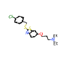 CCN(CC)CCCOc1ccc2nc(SCc3ccc(Cl)cc3)sc2c1